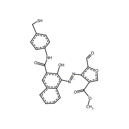 COC(=O)c1coc(C=O)c1/N=N/c1c(O)c(C(=O)Nc2ccc(CS)cc2)cc2ccccc12